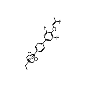 CCC12COC(c3ccc(-c4cc(F)c(O/C=C(/C)F)c(F)c4)cc3)(OC1)OC2